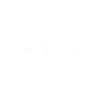 CCN(CC)CCOc1ccc(Nc2ncc(Cl)c(N3OCCC3c3ccccc3)n2)cc1.Cl